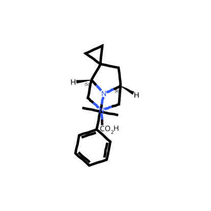 CC(C)(c1ccccc1)N1[C@H]2CN(C(=O)O)C[C@@H]1C1(CC1)C2